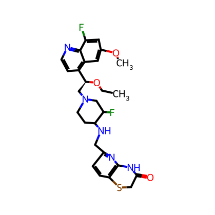 CCO[C@@H](CN1CCC(NCc2ccc3c(n2)NC(=O)CS3)C(F)C1)c1ccnc2c(F)cc(OC)cc12